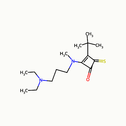 CCN(CC)CCCN(C)c1c(C(C)(C)C)c(=S)c1=O